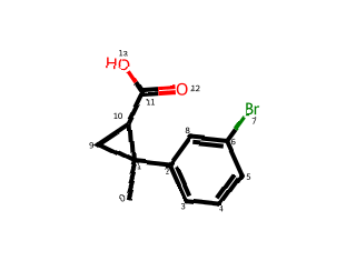 CC1(c2cccc(Br)c2)CC1C(=O)O